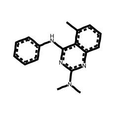 Cc1cccc2nc(N(C)C)nc(Nc3ccccc3)c12